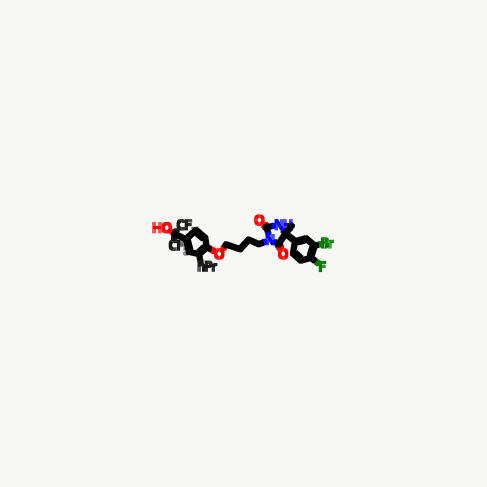 CCCc1cc(C(O)(C(F)(F)F)C(F)(F)F)ccc1OCCCCN1C(=O)NC(C)(c2ccc(F)c(Br)c2)C1=O